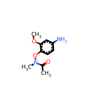 COc1cc(N)ccc1ON(C)C(C)=O